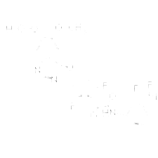 COc1cc2ncnc(Oc3cc(F)c(C(=O)C(=O)Nc4cccc(C(F)(F)F)c4)c(F)c3)c2cc1OC